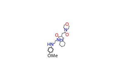 COc1ccc(NCCNC(=O)C(CC(=O)N2CCOCC2)CC2CCCCC2)cc1